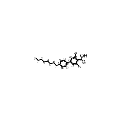 CCCCCCCCc1ccc(-c2cc(C)c(C(=O)O)c(C)c2)cc1